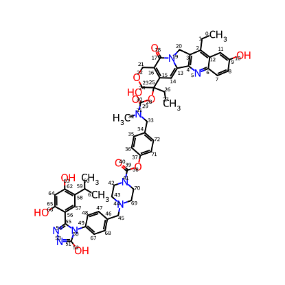 CCc1c2c(nc3ccc(O)cc13)-c1cc3c(c(=O)n1C2)COC(O)C3(CC)OC(=O)N(C)Cc1ccc(OC(=O)N2CCN(Cc3ccc(-n4c(O)nnc4-c4cc(C(C)C)c(O)cc4O)cc3)CC2)cc1